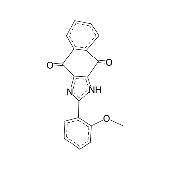 COc1ccccc1-c1nc2c([nH]1)C(=O)c1ccccc1C2=O